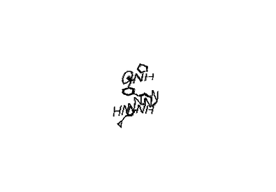 O=C(NC1CCCC1)c1cccc(-c2cc3nccn3c(Nc3cc(C4CC4)[nH]n3)n2)c1